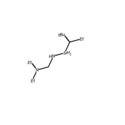 CCC([SiH2]NCN(CC)CC)C(C)(C)C